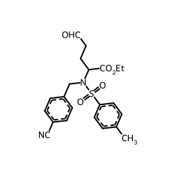 CCOC(=O)C(CCC=O)N(Cc1ccc(C#N)cc1)S(=O)(=O)c1ccc(C)cc1